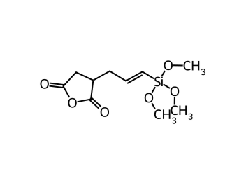 CO[Si](/C=C/CC1CC(=O)OC1=O)(OC)OC